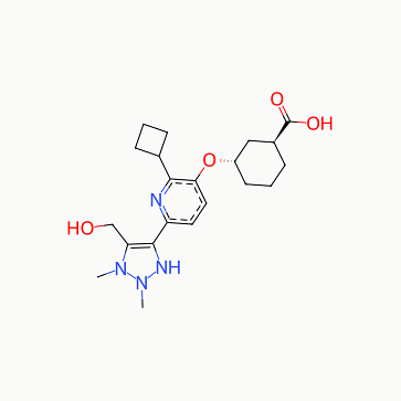 CN1NC(c2ccc(O[C@H]3CCC[C@H](C(=O)O)C3)c(C3CCC3)n2)=C(CO)N1C